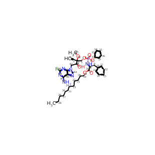 C#CC(COP(=O)(N[C@@H](Cc1ccccc1)C(=O)OCCCCCCCCCCCC)Oc1ccccc1)(OC)[C@@H](O)Cn1cnc2c(N)nc(F)nc21